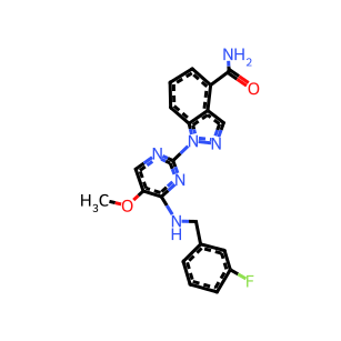 COc1cnc(-n2ncc3c(C(N)=O)cccc32)nc1NCc1cccc(F)c1